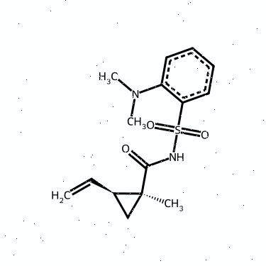 C=C[C@@H]1C[C@]1(C)C(=O)NS(=O)(=O)c1ccccc1N(C)C